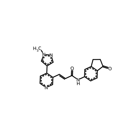 Cn1cc(-c2ccncc2/C=C/C(=O)Nc2ccc3c(c2)CCC3=O)cn1